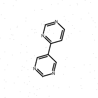 [c]1ncc(-c2ccn[c]n2)cn1